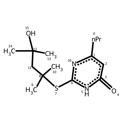 CCCc1cc(=O)[nH]c(SC(C)(C)CC(C)(C)O)n1